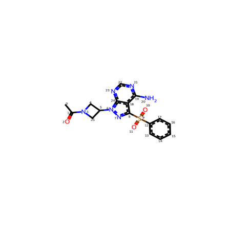 CC(=O)N1CC(n2nc(S(=O)(=O)c3ccccc3)c3c(N)ncnc32)C1